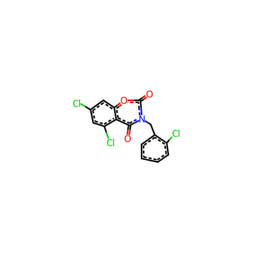 O=c1oc2cc(Cl)cc(Cl)c2c(=O)n1Cc1ccccc1Cl